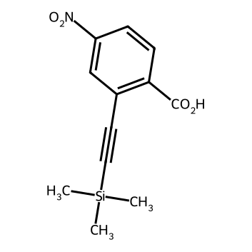 C[Si](C)(C)C#Cc1cc([N+](=O)[O-])ccc1C(=O)O